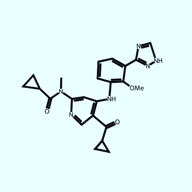 COc1c(Nc2cc(N(C)C(=O)C3CC3)ncc2C(=O)C2CC2)cccc1-c1nc[nH]n1